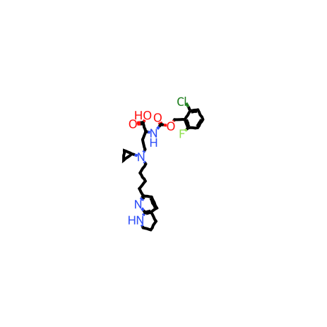 O=C(NC(CCN(CCCCc1ccc2c(n1)NCCC2)C1CC1)C(=O)O)OCc1c(F)cccc1Cl